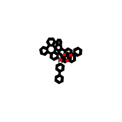 c1ccc(-c2ccc(N(c3ccc(-c4ccccc4)cc3)c3ccc4c(c3)C3(c5ccccc5-c5ccccc5-4)c4ccccc4-c4c3cc3ccc5cccc6ccc4c3c56)cc2)cc1